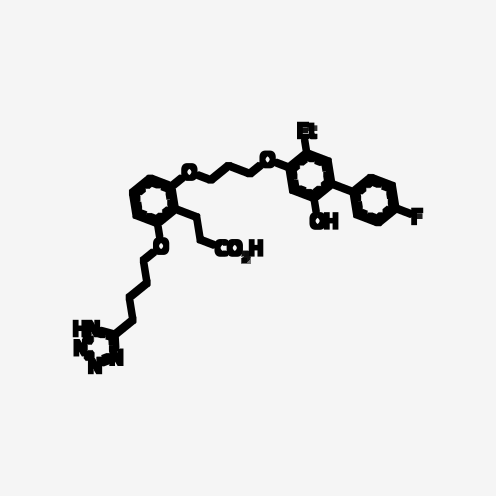 CCc1cc(-c2ccc(F)cc2)c(O)cc1OCCCOc1cccc(OCCCCc2nnn[nH]2)c1CCC(=O)O